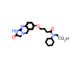 O=C(O)CN(C(=O)CCCOc1ccc2c(c1)CN1CC(=O)NC1=N2)C1CCCCC1